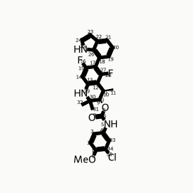 COc1ccc(NC(=O)O[C@H]2[C@H](C)c3c(cc(F)c(-c4cccc5cc[nH]c45)c3F)NC2(C)C)cc1Cl